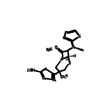 CC(=O)Nc1nnc(C2(C(=O)O)CS[C@@H]3C(N(C(C)=O)c4nccs4)C(=O)N3C2)s1.[NaH]